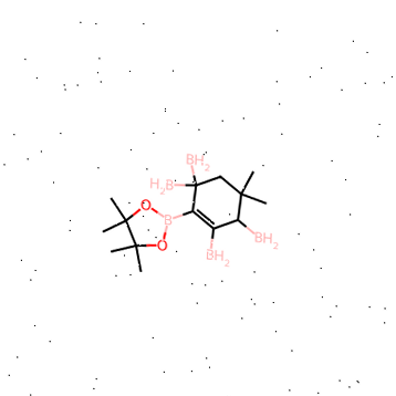 BC1=C(B2OC(C)(C)C(C)(C)O2)C(B)(B)CC(C)(C)C1B